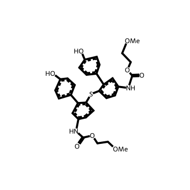 COCCOC(=O)Nc1ccc(Sc2ccc(NC(=O)OCCOC)cc2-c2ccc(O)cc2)c(-c2ccc(O)cc2)c1